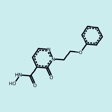 O=C(NO)c1ccnn(CCOc2ccccc2)c1=O